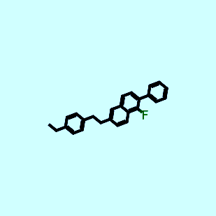 CCc1ccc(CCc2ccc3c(F)c(-c4ccccc4)ccc3c2)cc1